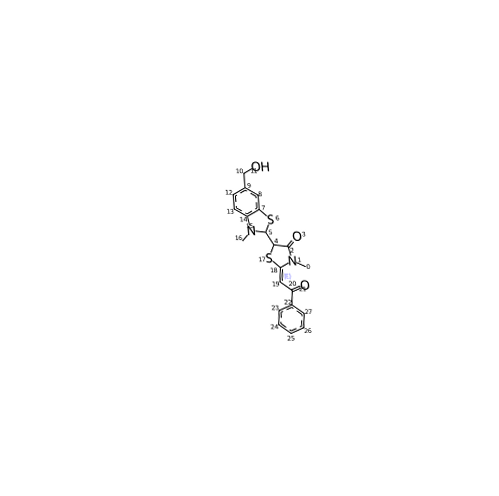 CN1C(=O)C(C2Sc3cc(CO)ccc3N2C)S/C1=C/C(=O)c1ccccc1